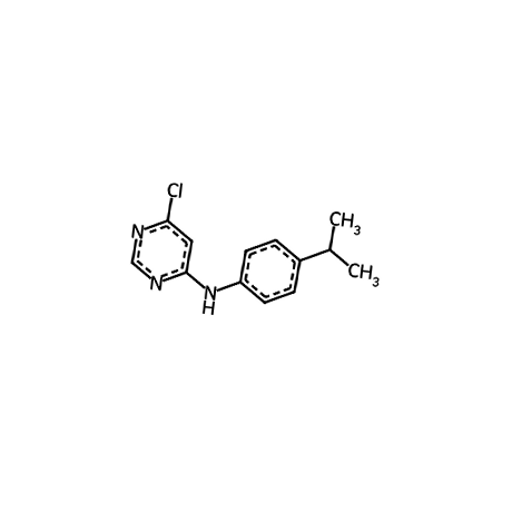 CC(C)c1ccc(Nc2cc(Cl)ncn2)cc1